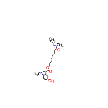 CCCCN(C)C(=O)CCCCCCCCOC(=O)c1cn(C)c2ccc(O)cc12